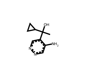 CC(O)(c1cnncc1N)C1CC1